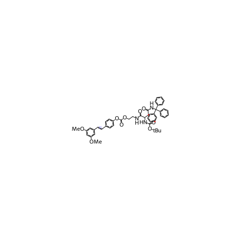 COc1cc(/C=C/c2ccc(OC(=O)OCCNC(=O)C(CC(=O)NC(c3ccccc3)(c3ccccc3)c3ccccc3)NC(=O)OC(C)(C)C)cc2)cc(OC)c1